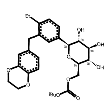 CCc1ccc([C@@H]2O[C@H](COC(=O)OCC(C)C)[C@@H](O)[C@H](O)[C@H]2O)cc1Cc1ccc2c(c1)OCCO2